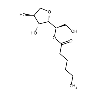 CCCCCC(=O)O[C@H](CO)[C@H]1OC[C@H](O)[C@H]1O